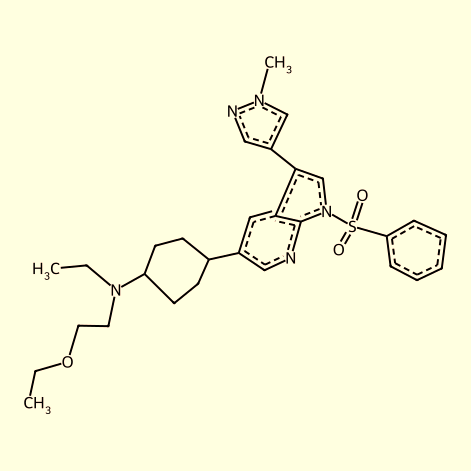 CCOCCN(CC)C1CCC(c2cnc3c(c2)c(-c2cnn(C)c2)cn3S(=O)(=O)c2ccccc2)CC1